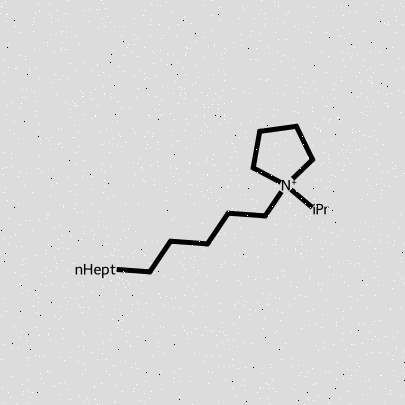 CCCCCCCCCCCC[N+]1(C(C)C)CCCC1